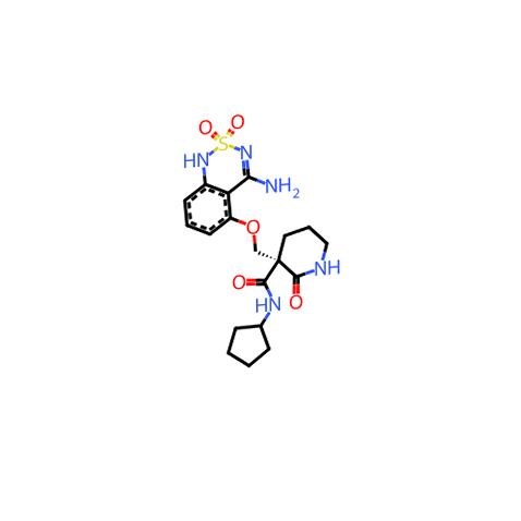 NC1=NS(=O)(=O)Nc2cccc(OC[C@]3(C(=O)NC4CCCC4)CCCNC3=O)c21